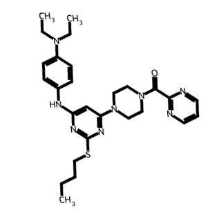 CCCCSc1nc(Nc2ccc(N(CC)CC)cc2)cc(N2CCN(C(=O)c3ncccn3)CC2)n1